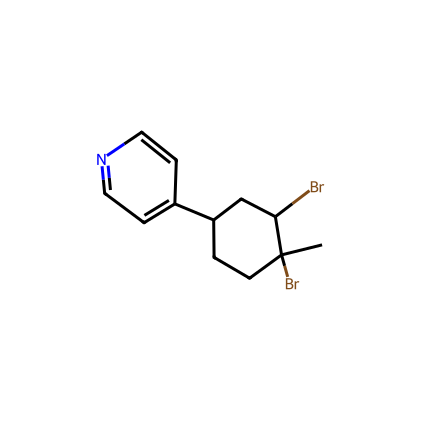 CC1(Br)CCC(c2ccncc2)CC1Br